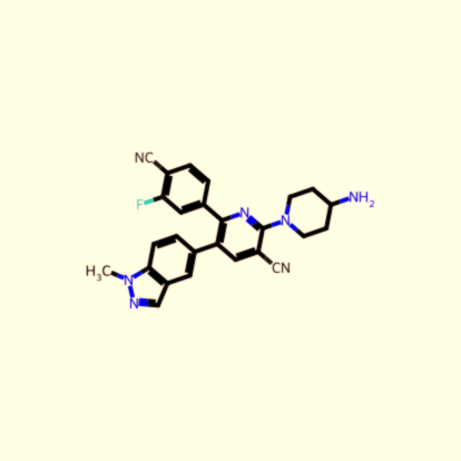 Cn1ncc2cc(-c3cc(C#N)c(N4CCC(N)CC4)nc3-c3ccc(C#N)c(F)c3)ccc21